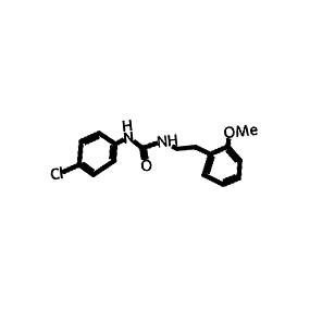 COc1ccccc1CCNC(=O)Nc1ccc(Cl)cc1